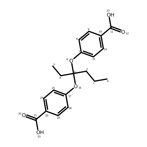 CCCC(CC)(Oc1ccc(C(=O)O)cc1)Oc1ccc(C(=O)O)cc1